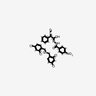 Clc1ccc([CH2][Sn][CH2]c2ccc(Cl)cc2Cl)c(Cl)c1.O=C=C(C(O)=NNC(=O)c1ccc([N+](=O)[O-])cc1)c1ccccc1